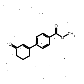 COC(=O)c1ccc(C2=CC(=O)CCC2)cc1